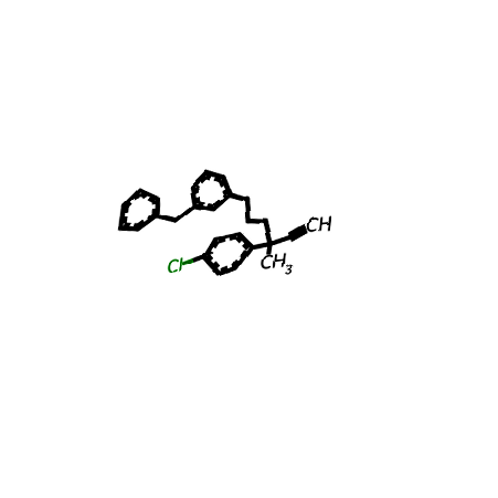 C#CC(C)(CCCc1cccc(Cc2ccccc2)c1)c1ccc(Cl)cc1